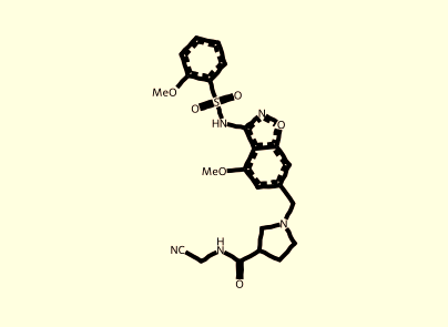 COc1ccccc1S(=O)(=O)Nc1noc2cc(CN3CCC(C(=O)NCC#N)C3)cc(OC)c12